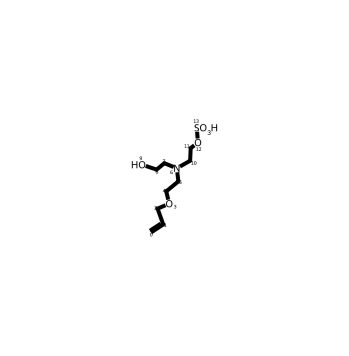 C=CCOCCN(CCO)CCOS(=O)(=O)O